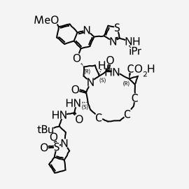 COc1ccc2c(O[C@@H]3C[C@H]4C(=O)N[C@]5(C(=O)O)CC5CCCCCCC[C@H](NC(=O)NC(CN5CC6=C(C=CC6)S5(=O)=O)C(C)(C)C)C(=O)N4C3)cc(-c3csc(NC(C)C)n3)nc2c1